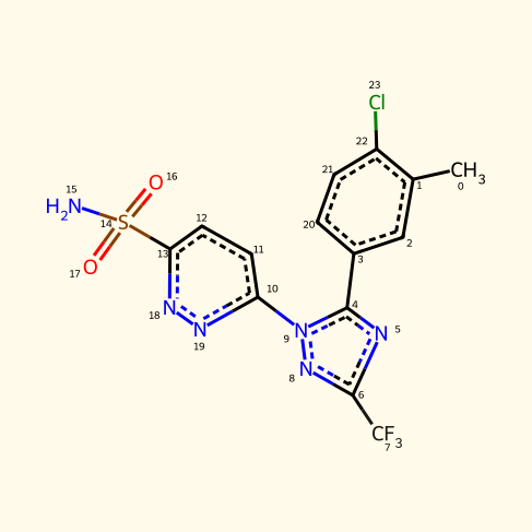 Cc1cc(-c2nc(C(F)(F)F)nn2-c2ccc(S(N)(=O)=O)nn2)ccc1Cl